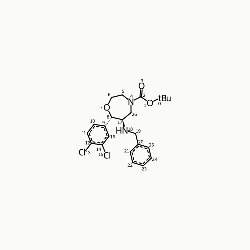 CC(C)(C)OC(=O)N1CCO[C@@H](c2ccc(Cl)c(Cl)c2)[C@H](NCc2ccccc2)C1